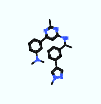 Cc1nc(NC(C)c2cccc(-c3cnn(C)c3)c2)cc(-c2cccc(N(C)C)c2)n1